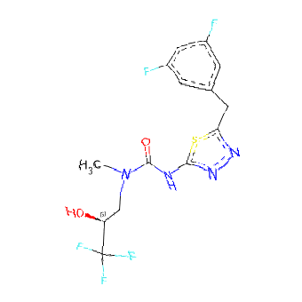 CN(C[C@H](O)C(F)(F)F)C(=O)Nc1nnc(Cc2cc(F)cc(F)c2)s1